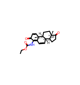 CCOC(=O)NC1=C2C=C[C@@H]3[C@H](CC[C@]4(C)C(=O)CC[C@@H]34)[C@@]2(C)C=CC1=O